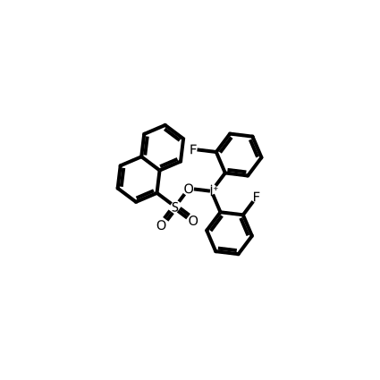 O=S(=O)(O[I+](c1ccccc1F)c1ccccc1F)c1cccc2ccccc12